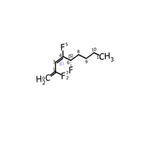 C=C(F)/C=C(/F)[C@@H](F)CCCC